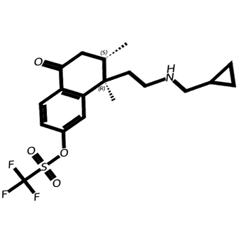 C[C@H]1CC(=O)c2ccc(OS(=O)(=O)C(F)(F)F)cc2[C@]1(C)CCNCC1CC1